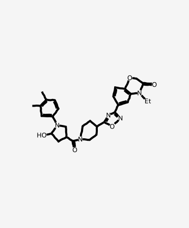 CCN1C(=O)COc2ccc(-c3noc(C4CCN(C(=O)C5CC(O)N(c6ccc(C)c(C)c6)C5)CC4)n3)cc21